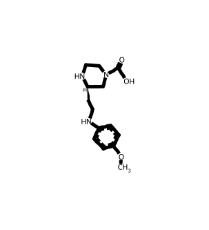 COc1ccc(NCC[C@@H]2CN(C(=O)O)CCN2)cc1